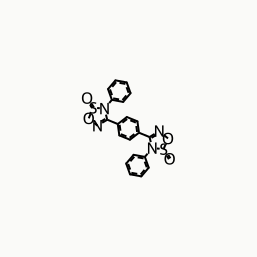 O=S1ON=C(c2ccc(C3=NOS(=O)N3c3ccccc3)cc2)N1c1ccccc1